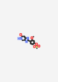 COc1cc(OS(C)(=O)=O)ccc1C1=NC2=CC(=O)NCC2=N1